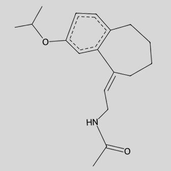 CC(=O)NCC=C1CCCCc2ccc(OC(C)C)cc21